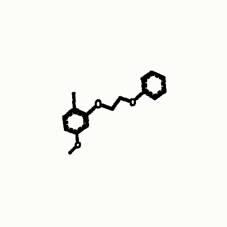 COc1ccc(C)c(OCCOc2ccccc2)c1